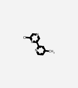 Cc1ccnc(-c2cncc(Cl)n2)c1